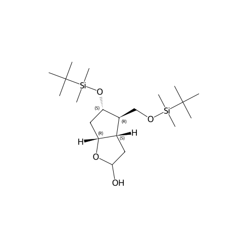 CC(C)(C)[Si](C)(C)OC[C@H]1[C@@H]2CC(O)O[C@@H]2C[C@@H]1O[Si](C)(C)C(C)(C)C